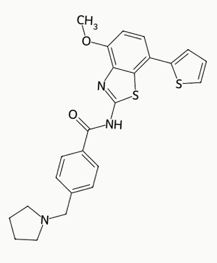 COc1ccc(-c2cccs2)c2sc(NC(=O)c3ccc(CN4CCCC4)cc3)nc12